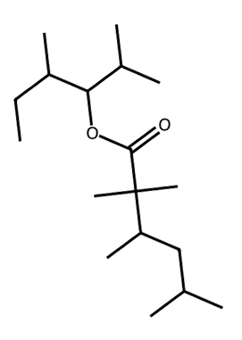 CCC(C)C(OC(=O)C(C)(C)C(C)CC(C)C)C(C)C